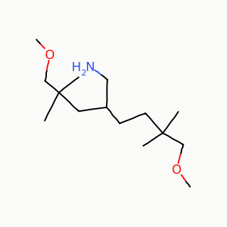 COCC(C)(C)CCC(CN)CC(C)(C)COC